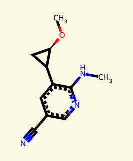 CNc1ncc(C#N)cc1C1C[C@H]1OC